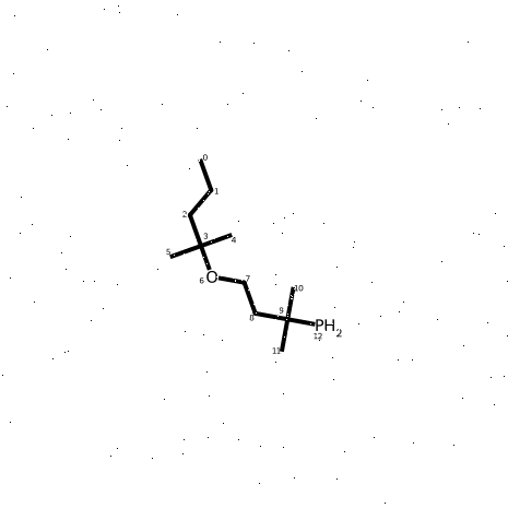 CCCC(C)(C)OCCC(C)(C)P